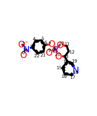 O=[N+]([O-])c1ccc(OP2(=O)OCCC(c3cccnc3)O2)cc1